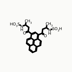 CC(CC(=O)c1cc(C(=O)CC(C)NS(=O)(=O)O)c2ccc3cccc4ccc1c2c43)NS(=O)(=O)O